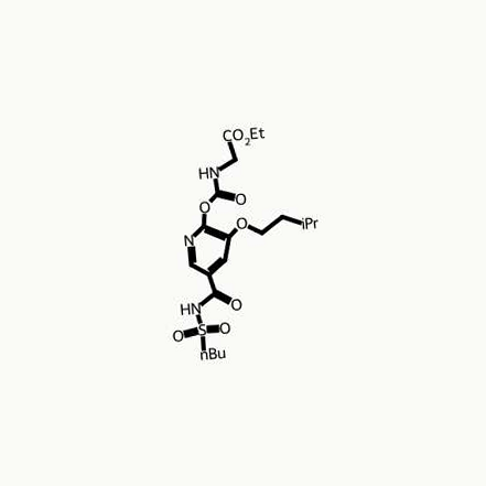 CCCCS(=O)(=O)NC(=O)c1cnc(OC(=O)NCC(=O)OCC)c(OCCC(C)C)c1